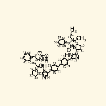 CCN(CC)[C@@H](C(=O)N1CCC[C@H]1c1ncc(-c2ccc(-c3ccc(-c4cnc([C@@H]5CCCN5C(=O)C[C@H](Cc5ccccc5)NC(=O)O)[nH]4)cc3)cc2)[nH]1)c1ccccc1